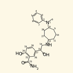 CN(c1ccccc1)C1CCCC(NCC(O)c2ccc(O)c(C(N)=O)c2)CC1